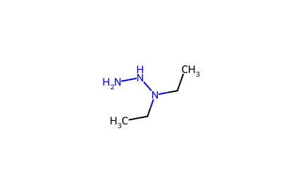 CCN(CC)NN